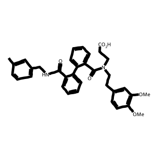 COc1ccc(CCN(CCC(=O)O)C(=O)c2ccccc2-c2ccccc2C(=O)NCc2cccc(C)c2)cc1OC